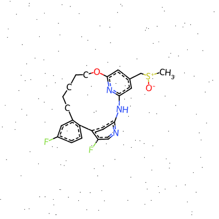 C[S+]([O-])Cc1cc2nc(c1)OCCCCCc1cc(F)ccc1-c1cc(ncc1F)N2